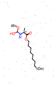 CCCCCCCCCCCCCCCCCCOC(=O)[C@H](C)NC(O)OC(C)(C)C